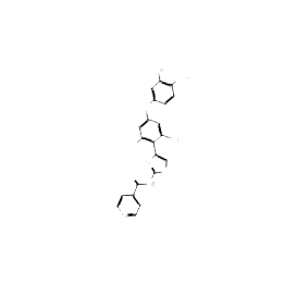 Cc1cc(Oc2ccc(O)c(O)c2)cc(C)c1-c1csc(NC(=O)c2ccncc2)n1